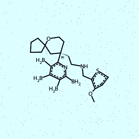 Bc1nc([C@]2(CCNCc3sccc3OC)CCOC3(CCCC3)C2)c(B)c(B)c1B